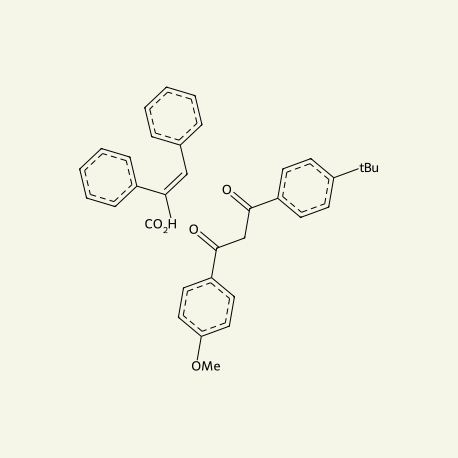 COc1ccc(C(=O)CC(=O)c2ccc(C(C)(C)C)cc2)cc1.O=C(O)C(=Cc1ccccc1)c1ccccc1